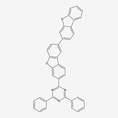 c1ccc(-c2nc(-c3ccccc3)nc(-c3ccc4c(c3)oc3ccc(-c5ccc6c(c5)oc5ccccc56)cc34)n2)cc1